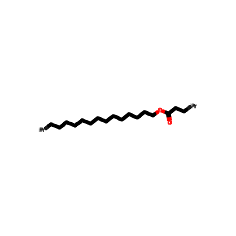 CC(C)CCCCCCCCCCCCCCOC(=O)CCC(C)C